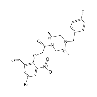 C[C@@H]1CN(C(=O)COc2c(C=O)cc(Br)cc2[N+](=O)[O-])[C@@H](C)CN1Cc1ccc(F)cc1